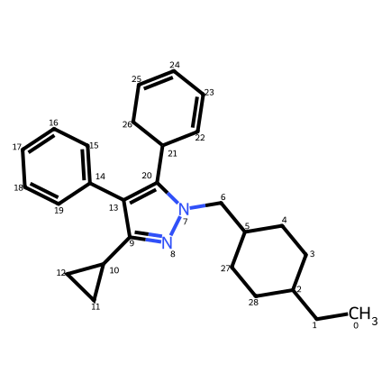 CCC1CCC(Cn2nc(C3CC3)c(-c3ccccc3)c2C2C=CC=CC2)CC1